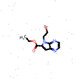 CCOC(=O)c1cc2nccnc2n1CCBr